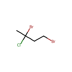 CC(Cl)(Br)CCBr